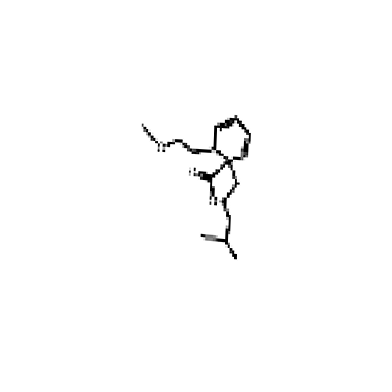 COCCC1C=CC=CC1(CCCC(C)C)C(=O)O